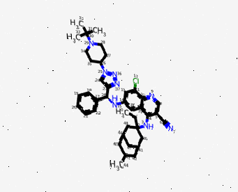 CCC1(Nc2c(C#N)cnc3c(Cl)cc(N[C@@H](c4ccccc4)c4cn(C5CCN(C(C)(C)C)CC5)nn4)cc23)CC2CC(C)CC(C2)C1